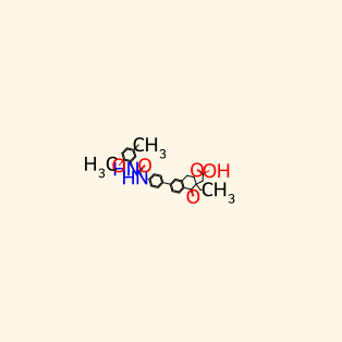 CCC1(CC(=O)O)CCc2cc(-c3ccc(NC(=O)Nc4cc(C)ccc4OC)cc3)ccc2C1=O